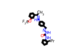 CC(=NNc1ccc(C=NNC(=O)Nc2ccccc2C(C)C)cc1)c1cccc(OC(F)(F)F)c1